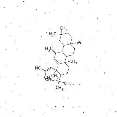 C=C1C=C2C(C)(/C=C(\C)C#N)C(C(C)(C)C=O)CCC2(C)C2CCC3(CCC)CCC(C)(C)CC3C12